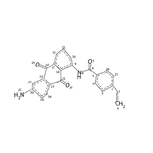 C=Cc1ccc(C(=O)Nc2cccc3c2C(=O)c2ccc(N)cc2C3=O)cc1